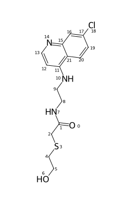 O=C(CSCCO)NCCNc1ccnc2cc(Cl)ccc12